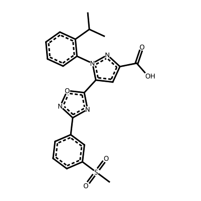 CC(C)c1ccccc1-n1nc(C(=O)O)cc1-c1nc(-c2cccc(S(C)(=O)=O)c2)no1